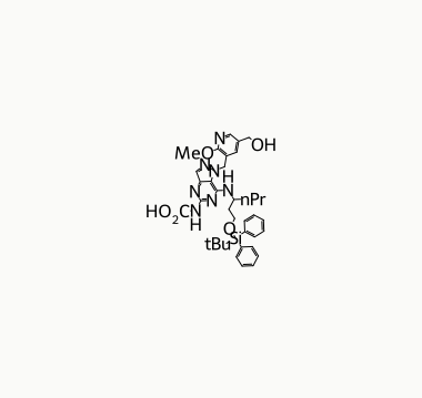 CCCC(CCO[Si](c1ccccc1)(c1ccccc1)C(C)(C)C)Nc1nc(NC(=O)O)nc2cnn(Cc3cc(CO)cnc3OC)c12